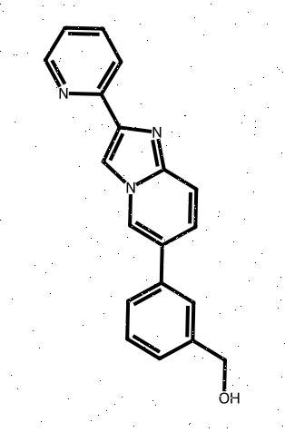 OCc1cccc(-c2ccc3nc(-c4ccccn4)cn3c2)c1